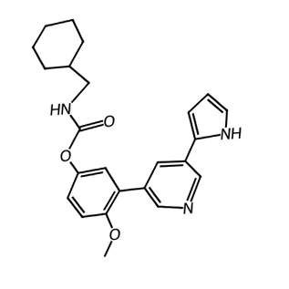 COc1ccc(OC(=O)NCC2CCCCC2)cc1-c1cncc(-c2ccc[nH]2)c1